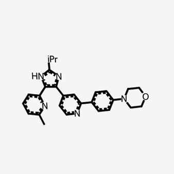 Cc1cccc(-c2[nH]c(C(C)C)nc2-c2ccnc(-c3ccc(N4CCOCC4)cc3)c2)n1